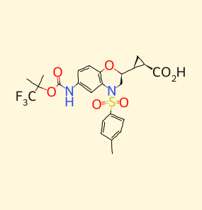 Cc1ccc(S(=O)(=O)N2C[C@H]([C@H]3C[C@H]3C(=O)O)Oc3ccc(NC(=O)OC(C)(C)C(F)(F)F)cc32)cc1